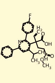 C=CC(CC[PH](=O)OC)(C(=O)O)c1c(C(C)C)cc(-c2ccccc2)nc1-c1ccc(F)cc1